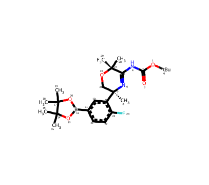 CC(C)(C)OC(=O)NC1=N[C@@](C)(c2cc(B3OC(C)(C)C(C)(C)O3)ccc2F)CO[C@@]1(C)C(F)(F)F